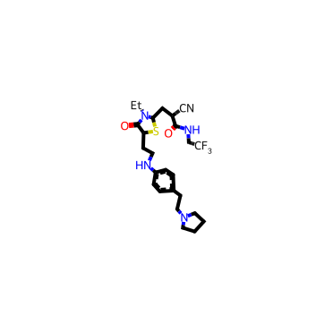 CCN1C(=O)C(CCNc2ccc(CCN3CCCC3)cc2)SC1CC(C#N)C(=O)NCC(F)(F)F